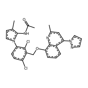 CC(=O)Nc1c(C)ccn1-c1ccc(Cl)c(COc2cccc3c(-n4cccn4)cc(C)nc23)c1Cl